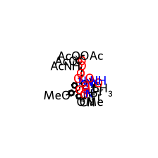 COc1ccc(C(OC[C@]2(COP(OCCC#N)N(C(C)C)C(C)C)CN(C(=O)COCCO[C@@H]3O[C@H](COC(C)=O)[C@H](OC(C)=O)[C@H](OC(C)=O)[C@H]3NC(C)=O)C[C@H](n3cc(C)c(=O)[nH]c3=O)O2)(c2ccccc2)c2ccc(OC)cc2)cc1